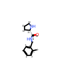 Cc1ccccc1CNC(=O)[C@@H]1CCCN1